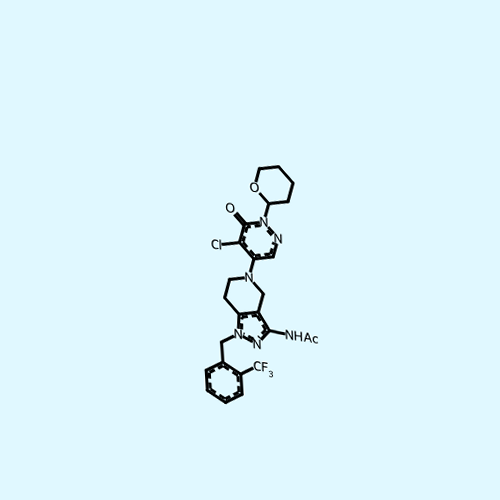 CC(=O)Nc1nn(Cc2ccccc2C(F)(F)F)c2c1CN(c1cnn(C3CCCCO3)c(=O)c1Cl)CC2